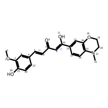 COc1cc(/C=C/C(=O)/C=C(\O)c2ccc3c(c2)OCCN3C)ccc1O